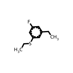 CCSc1cc(F)cc(CC)c1